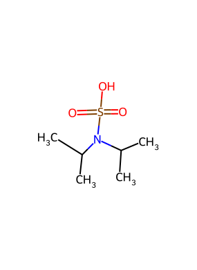 CC(C)N(C(C)C)S(=O)(=O)O